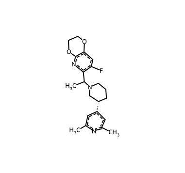 Cc1cc([C@H]2CCCN(C(C)c3nc4c(cc3F)OCCO4)C2)cc(C)n1